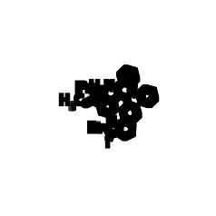 C/C=C1/c2cc(N3C4=C(CCCC4)C(I)C3CC)cc(C(C(N)c3ccccc3)C(Nc3ccccc3)C3C=CCCC3)c2OC1C(C)C